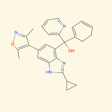 Cc1noc(C)c1-c1cc(C(O)(C2=CC=CCC2)c2ccccn2)c2nc(C3CC3)[nH]c2c1